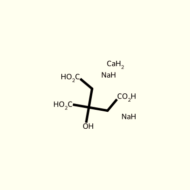 O=C(O)CC(O)(CC(=O)O)C(=O)O.[CaH2].[NaH].[NaH]